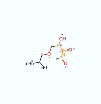 CCCCC(CC)COCP(O)[PH](=O)P=O